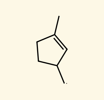 [CH2]C1C=C(C)CC1